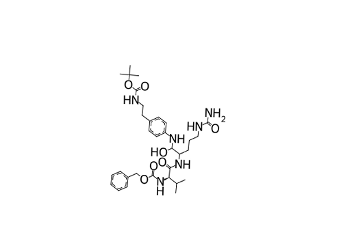 CC(C)[C@@H](NC(=O)OCc1ccccc1)C(=O)NC(CCCNC(N)=O)C(O)Nc1ccc(CCNC(=O)OC(C)(C)C)cc1